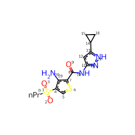 CCCS(=O)(=O)c1csc(C(=O)Nc2cc(C3CC3)[nH]n2)c1N